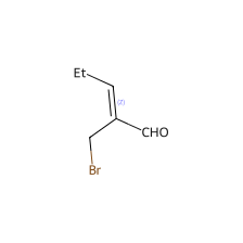 CC/C=C(/C=O)CBr